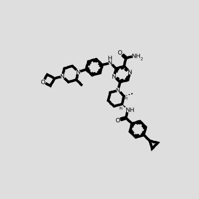 CC1CN(C2COC2)CCN1c1ccc(Nc2nc(N3CCC[C@@H](NC(=O)c4ccc(C5CC5)cc4)[C@H]3C)cnc2C(N)=O)cc1